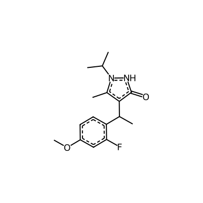 COc1ccc(C(C)c2c(C)n(C(C)C)[nH]c2=O)c(F)c1